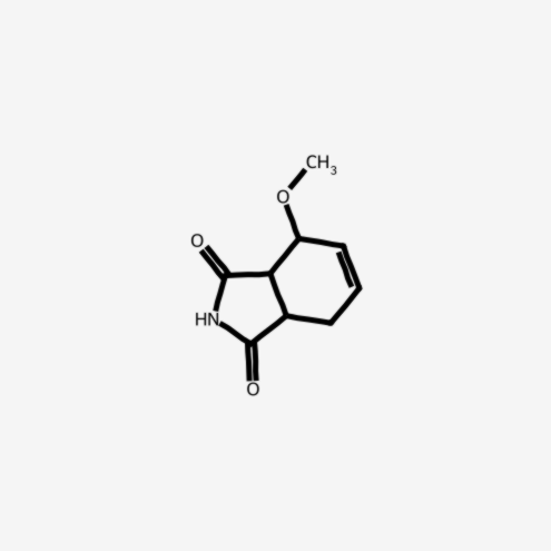 COC1C=CCC2C(=O)NC(=O)C12